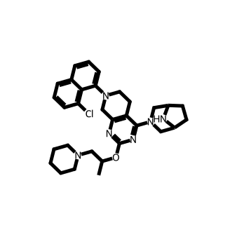 CC(CN1CCCCC1)Oc1nc2c(c(N3CC4CCC(C3)N4)n1)CCN(c1cccc3cccc(Cl)c13)C2